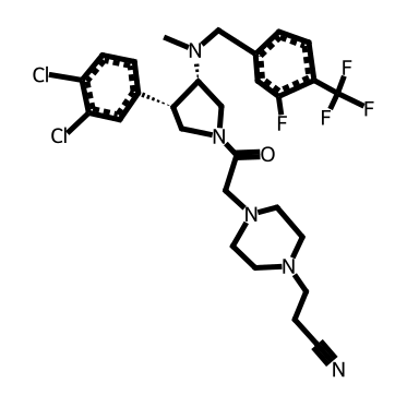 CN(Cc1ccc(C(F)(F)F)c(F)c1)[C@@H]1CN(C(=O)CN2CCN(CCC#N)CC2)C[C@@H]1c1ccc(Cl)c(Cl)c1